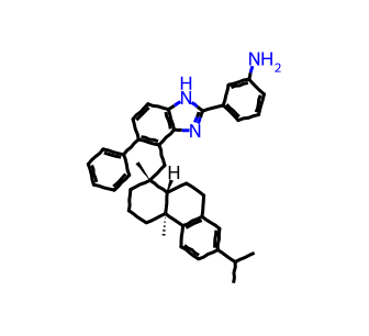 CC(C)c1ccc2c(c1)CC[C@H]1[C@@](C)(Cc3c(-c4ccccc4)ccc4[nH]c(-c5cccc(N)c5)nc34)CCC[C@]21C